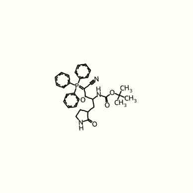 CC(C)(C)OC(=O)NC(CC1CCNC1=O)C(=O)C(C#N)=P(c1ccccc1)(c1ccccc1)c1ccccc1